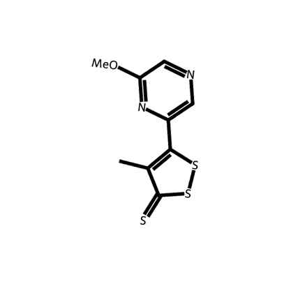 COc1cncc(-c2ssc(=S)c2C)n1